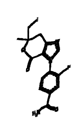 CC1(CI)Cc2ncn(-c3ccc(C(N)=O)cc3F)c2C(=O)O1